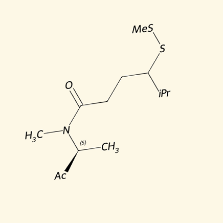 CSSC(CCC(=O)N(C)[C@@H](C)C(C)=O)C(C)C